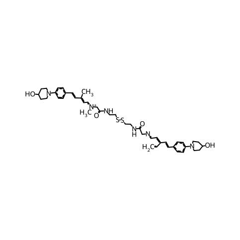 C=CC(/C=C/c1ccc(N2CCC(O)CC2)cc1)=C\C=N\CC(=O)NCCSSCCNC(=O)C/[N+](C)=C/C=C(C)/C=C/c1ccc(N2CCC(O)CC2)cc1